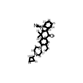 CCc1cc2c(cc1N1CCN(C3CCC3)CC1)C(C)(C)c1c(c3ccccc3n1C#N)C2=O